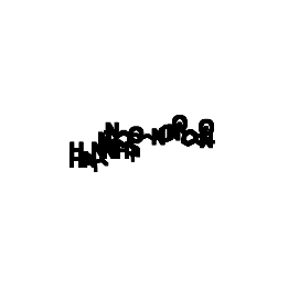 CC(=N)/C(C)=C(\N)Nc1ncnc2cc(OCCCN3CCN(C(=O)c4ccc5c(c4)C(=O)N(C)C5)CC3)c(SC(C)(C)C)cc12